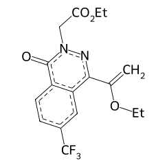 C=C(OCC)c1nn(CC(=O)OCC)c(=O)c2ccc(C(F)(F)F)cc12